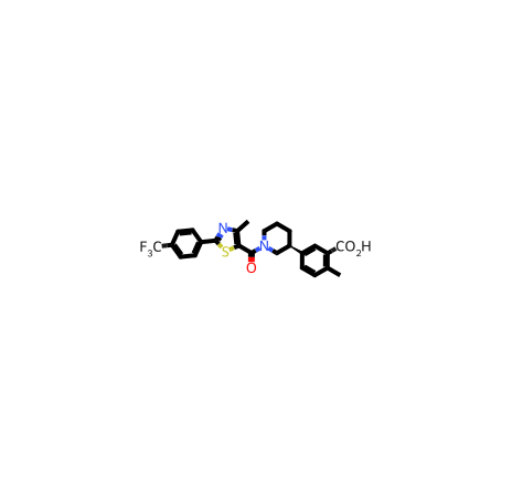 Cc1ccc([C@@H]2CCCN(C(=O)c3sc(-c4ccc(C(F)(F)F)cc4)nc3C)C2)cc1C(=O)O